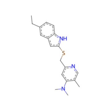 CCc1ccc2[nH]c(SCc3cc(N(C)C)c(C)cn3)cc2c1